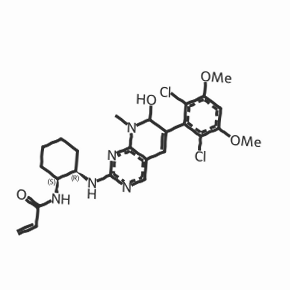 C=CC(=O)N[C@H]1CCCC[C@H]1Nc1ncc2c(n1)N(C)C(O)C(c1c(Cl)c(OC)cc(OC)c1Cl)=C2